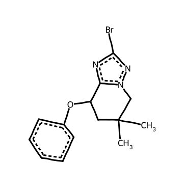 CC1(C)CC(Oc2ccccc2)c2nc(Br)nn2C1